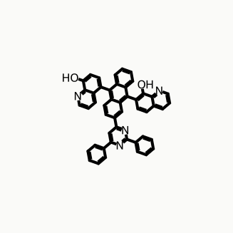 Oc1c(-c2c3ccccc3c(-c3ccc(O)c4ncccc34)c3ccc(-c4cc(-c5ccccc5)nc(-c5ccccc5)n4)cc23)ccc2cccnc12